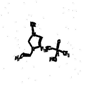 C=CN1C=CN(CC)C1.O=[SH](O)(C(F)(F)F)C(F)(F)F